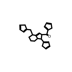 O=C(C1=CC=CC1)C1C=C2C(CC3=CC=CC3)CCCC2C1C1=CC=CC1